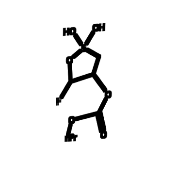 CCCOC(=O)OC1CS(O)(O)OC1F